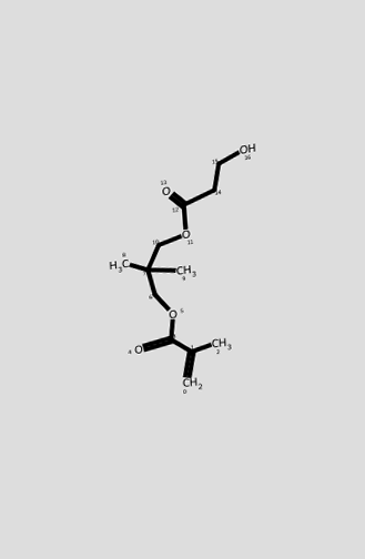 C=C(C)C(=O)OCC(C)(C)COC(=O)CCO